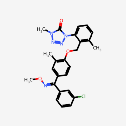 CON=C(c1cccc(Cl)c1)c1ccc(OCc2c(C)cccc2-n2nnn(C)c2=O)c(C)c1